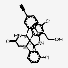 C#Cc1ccc(OCCO)c([C@@H]2NC(=O)C[C@H](c3cccc(Cl)c3)[C@@]23C(=O)Nc2cc(Cl)ccc23)c1